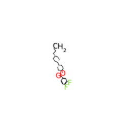 C=CCC[C@H]1CC[C@H]([C@H]2CC[C@H](OC(=O)c3ccc(F)c(F)c3)CC2)CC1